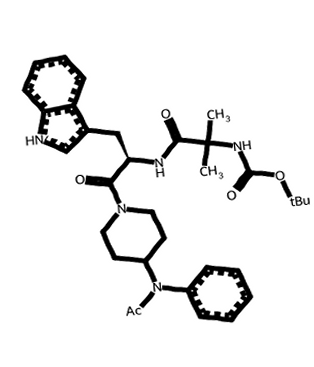 CC(=O)N(c1ccccc1)C1CCN(C(=O)[C@@H](Cc2c[nH]c3ccccc23)NC(=O)C(C)(C)NC(=O)OC(C)(C)C)CC1